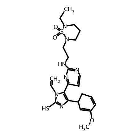 C=Cn1c(S)nc(C2C=C(OC)C=CC2)c1-c1ccnc(NCCN2CCCN(CC)S2(=O)=O)n1